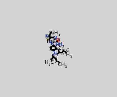 CCCCC(CC)CN(CC(CC)CCCC)c1ccc(N=Nc2snc(CC)c2C#N)c(NC(C)=O)c1